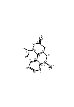 CC(C)N1CC(=O)CC2=C1c1cccnc1N(Br)C2